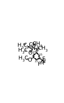 COc1cc([C@@H](C)N(C)[S+]([O-])C(C)(C)C)cc(C(F)(F)F)c1